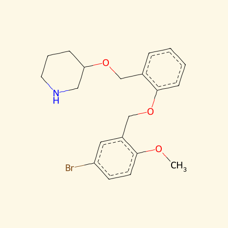 COc1ccc(Br)cc1COc1ccccc1COC1CCCNC1